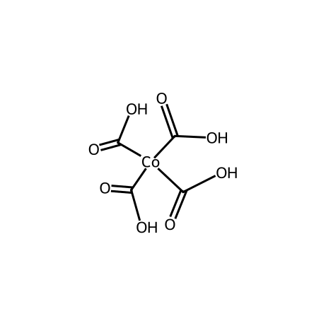 O=[C](O)[Co]([C](=O)O)([C](=O)O)[C](=O)O